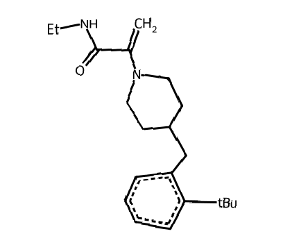 C=C(C(=O)NCC)N1CCC(Cc2ccccc2C(C)(C)C)CC1